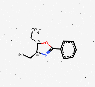 CC(C)C[C@@H]1N=C(c2ccccc2)O[C@H]1CC(=O)O